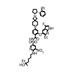 CCc1nc2[nH]cc(F)c2cc1Oc1cc(N2CCC3(CC2)CN([C@@H]2CCC[C@@H]2c2ccccc2C(C)C)C3)ccc1C(=O)NS(=O)(=O)c1cnc(NCCCC[C@](C)(O)CC)c([N+](=O)[O-])c1